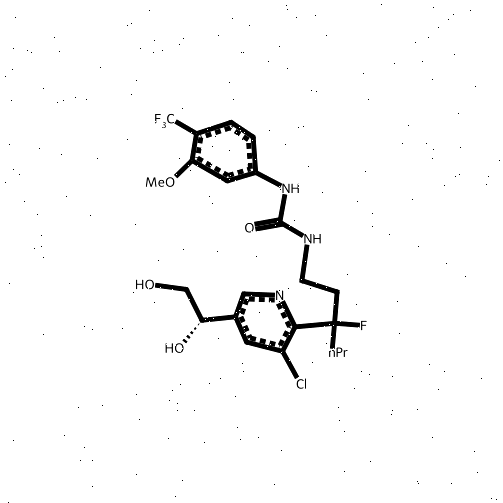 CCCC(F)(CCNC(=O)Nc1ccc(C(F)(F)F)c(OC)c1)c1ncc([C@H](O)CO)cc1Cl